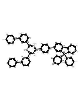 c1ccc(-c2cccc(-c3nc(-c4ccc(-c5ccc6c(c5)C(c5ccccc5)(c5ccccc5)c5ccccc5-6)cc4)nc(-c4cccc(-c5ccccc5)c4)n3)c2)cc1